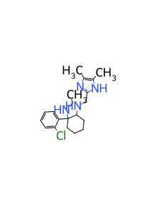 CCNC1(c2ccccc2Cl)CCCCC1NCc1nc(C)c(C)[nH]1